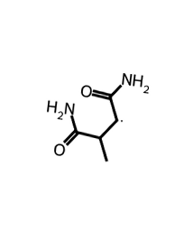 CC([CH]C(N)=O)C(N)=O